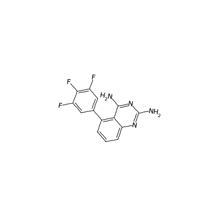 Nc1nc(N)c2c(-c3cc(F)c(F)c(F)c3)cccc2n1